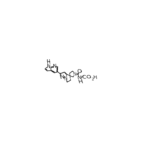 O=C(O)NC(=O)N1CCC2(CCn3nc(-c4cnc5[nH]ccc5c4)cc32)C1